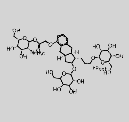 CCCCC[C@H](CC[C@H]1[C@@H]2Cc3cccc(OCC(=O)OC4O[C@H](CO)[C@@H](O)[C@H](O)[C@H]4NC(C)=O)c3C[C@@H]2C[C@@H]1O[C@@H]1O[C@H](CO)[C@H](O)[C@H](O)[C@H]1O)O[C@@H]1O[C@H](CO)[C@H](O)[C@H](O)[C@H]1O